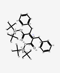 C[C](C)(C)[SnH]([O]C(=O)/C(Cc1ccccc1)=C(/Cc1ccccc1)C(=O)[O][SnH]([C](C)(C)C)[C](C)(C)C)[C](C)(C)C